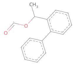 CC(O[C]=O)c1ccccc1-c1ccccc1